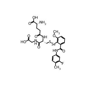 COc1cccc(C(=O)Nc2ccc(C)c(F)c2)c1[Se]SC[C@@H](NC(=O)CC[C@@H](N)C(=O)O)C(=O)NCC(=O)O